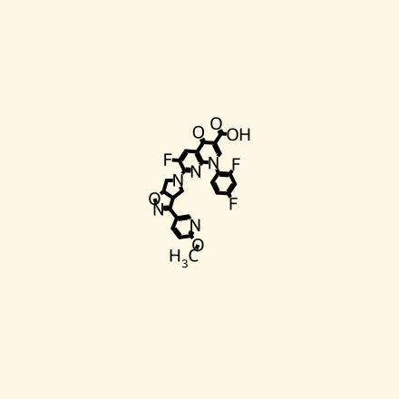 COc1ccc(C2=NOC3CN(c4nc5c(cc4F)c(=O)c(C(=O)O)cn5-c4ccc(F)cc4F)CC23)cn1